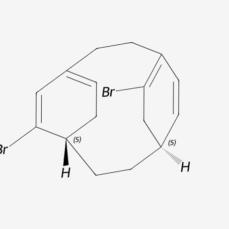 BrC1=CC2=CC[C@@H]1CC[C@@H]1C=CC(=C(Br)C1)CC2